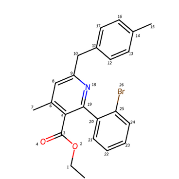 CCOC(=O)c1c(C)cc(Cc2ccc(C)cc2)nc1-c1ccccc1Br